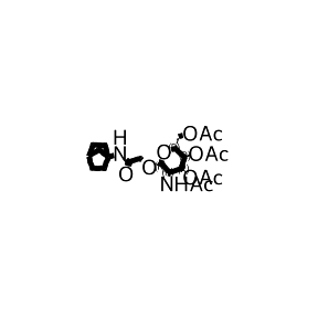 CC(=O)N[C@H]1[C@H](OCC(=O)NC23CCC(CC2)C3)O[C@H](COC(C)=O)[C@H](OC(C)=O)[C@@H]1OC(C)=O